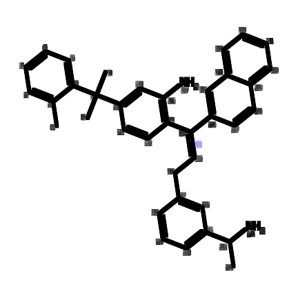 Cc1ccccc1C(C)(C)c1ccc(/C(=C\Cc2cccc(C(C)N)c2)c2ccc3ccccc3c2)c(N)c1